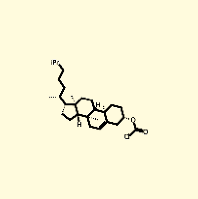 CC(C)CCC[C@@H](C)[C@H]1CC[C@@H]2[C@]1(C)CC[C@H]1[C@@]2(C)CC=C2C[C@@H](OC(=O)Cl)CC[C@@]21C